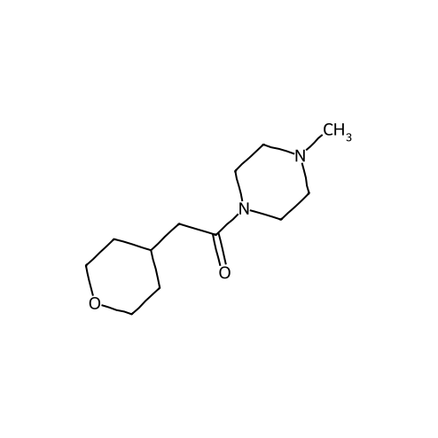 CN1CCN(C(=O)CC2CCOCC2)CC1